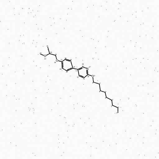 CCCCCCCCCOc1ccc(-c2ccc(OCC(C)OC)cc2)nn1